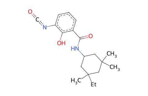 CCC1(C)CC(NC(=O)c2cccc(N=C=O)c2O)CC(C)(C)C1